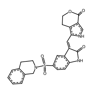 O=C1Nc2ccc(S(=O)(=O)N3CCc4ccccc4C3)cc2C1=Cc1[nH]cc2c1CCOC2=O